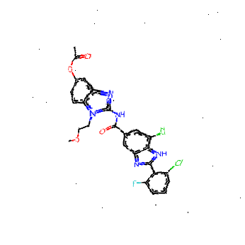 COCCn1c(NC(=O)c2cc(Cl)c3[nH]c(-c4c(F)cccc4Cl)nc3c2)nc2cc(OC(C)=O)ccc21